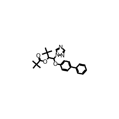 CC(C)(C)C(=O)OC(C(Oc1ccc(-c2ccccc2)cc1)n1cncn1)C(C)(C)C